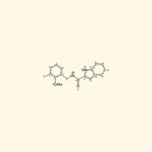 COc1c(C)cccc1CNC(=O)c1cc2ccccc2[nH]1